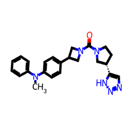 CN(c1ccccc1)c1ccc(C2CN(C(=O)N3CC[C@H](c4cnn[nH]4)C3)C2)cc1